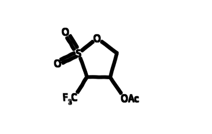 CC(=O)OC1COS(=O)(=O)C1C(F)(F)F